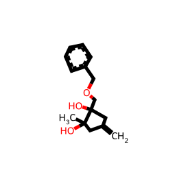 C=C1CC(C)(O)C(O)(COCc2ccccc2)C1